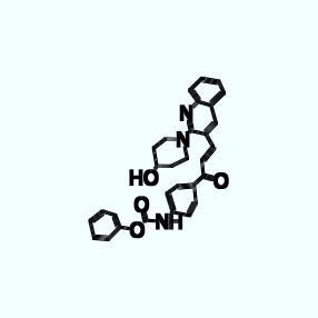 O=C(Nc1ccc(C(=O)C=Cc2cc3ccccc3nc2N2CCC(O)CC2)cc1)Oc1ccccc1